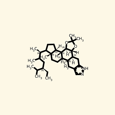 CC[C@H](CC(C)[C@@H](C)C1CC[C@H]2[C@@H]3[C@H]4OC(C)(C)O[C@@H]4[C@H]4Cc5[nH]ncc5C[C@]4(C)[C@H]3CC[C@]12C)C(C)C